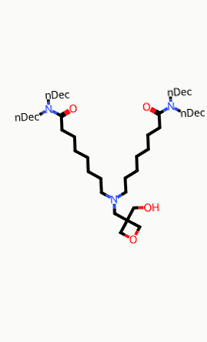 CCCCCCCCCCN(CCCCCCCCCC)C(=O)CCCCCCCN(CCCCCCCC(=O)N(CCCCCCCCCC)CCCCCCCCCC)CC1(CO)COC1